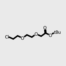 CC(C)(C)OC(=O)COCCOCCCl